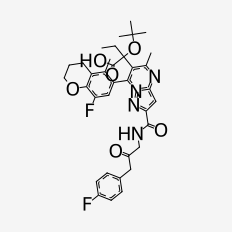 CCC(OC(C)(C)C)(C(=O)O)c1c(C)nc2cc(C(=O)NCC(=O)Cc3ccc(F)cc3)nn2c1-c1cc(F)c2c(c1C)CCCO2